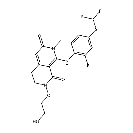 Cn1c(Nc2ccc(SC(F)F)cc2F)c2c(cc1=O)CCN(OCCO)C2=O